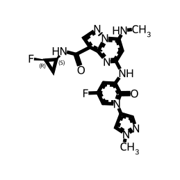 CNc1cc(Nc2cc(F)cn(-c3cnn(C)c3)c2=O)nc2c(C(=O)N[C@H]3C[C@H]3F)cnn12